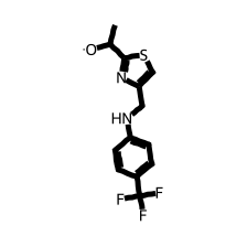 CC([O])c1nc(CNc2ccc(C(F)(F)F)cc2)cs1